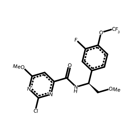 COC[C@@H](NC(=O)c1cc(OC)nc(Cl)n1)c1ccc(OC(F)(F)F)c(F)c1